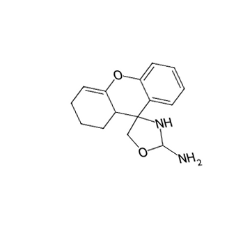 NC1NC2(CO1)c1ccccc1OC1=CCCCC12